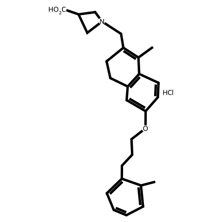 CC1=C(CN2CC(C(=O)O)C2)CCc2cc(OCCCc3ccccc3C)ccc21.Cl